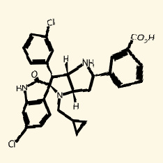 O=C(O)c1cccc([C@H]2C[C@H]3[C@@H](N2)[C@H](c2cccc(Cl)c2)[C@]2(C(=O)Nc4cc(Cl)ccc42)N3CC2CC2)c1